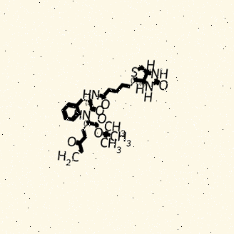 C=CC(=O)CC[C@H](NC(=O)[C@H](Cc1ccccc1)NC(=O)CCCC[C@@H]1SC[C@@H]2NC(=O)N[C@@H]21)C(=O)OC(C)(C)C